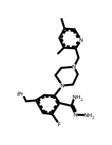 Cc1cnc(CN2CCN(c3cc(CC(C)C)cc(F)c3/C(N)=N/N)CC2)c(C)c1